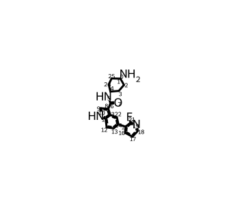 N[C@H]1CC[C@H](NC(=O)c2c[nH]c3ccc(-c4cccnc4F)cc23)CC1